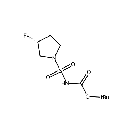 CC(C)(C)OC(=O)NS(=O)(=O)N1CC[C@@H](F)C1